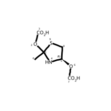 CC1(OC(=O)O)N[C@H](OC(=O)O)CS1